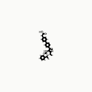 CCc1noc(-c2ccc(-c3ccc(CC(=O)O)cc3)cc2)c1NC(=O)OC(C)c1ccccc1